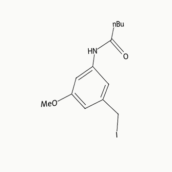 CCCCC(=O)Nc1cc(CI)cc(OC)c1